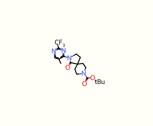 Cc1cnc(C(F)(F)F)nc1N1CCC2(CCN(C(=O)OC(C)(C)C)CC2)C1=O